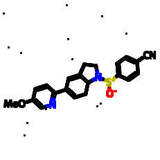 COc1ccc(C2=CCC3C(=C2)CCN3[S+]([O-])c2ccc(C#N)cc2)nc1